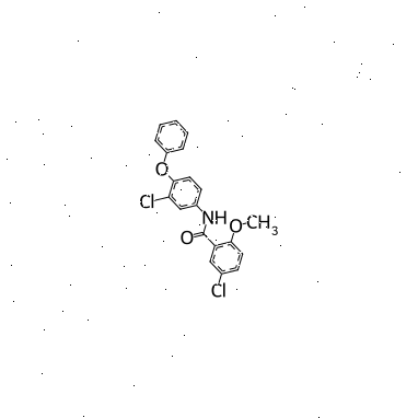 COc1ccc(Cl)cc1C(=O)Nc1ccc(Oc2ccccc2)c(Cl)c1